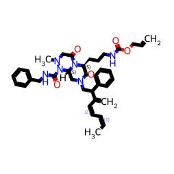 C=CCOC(=O)NCCC[C@H]1C(=O)N(CC(C(=C)/C=C\C=C/C)c2ccccc2)C[C@H]2N1C(=O)CN(C)N2C(=O)NCc1ccccc1